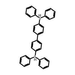 c1ccc([SH](c2ccccc2)c2ccc(-c3ccc([SH](c4ccccc4)c4ccccc4)cc3)cc2)cc1